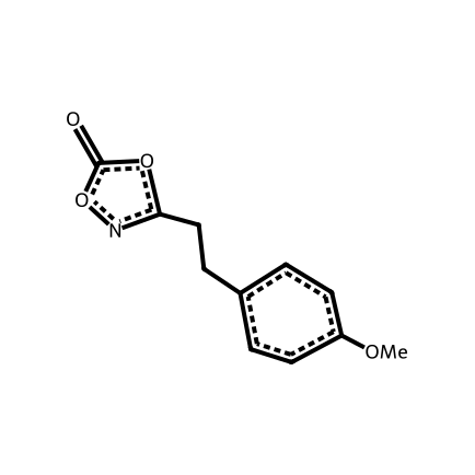 COc1ccc(CCc2noc(=O)o2)cc1